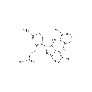 Cc1cccc(C)c1Nc1c(-c2ccc(C#N)cc2OCC(N)=O)nc2ccc(F)cn12